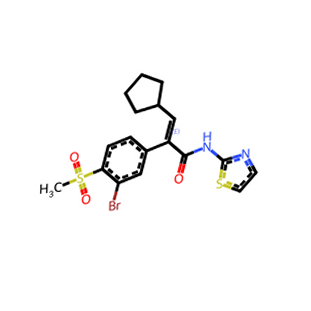 CS(=O)(=O)c1ccc(/C(=C\C2CCCC2)C(=O)Nc2nccs2)cc1Br